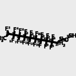 CC(F)C(F)(F)C(F)(F)C(F)(F)C(F)(F)C(F)(F)C(F)(F)C(F)(F)C(F)(F)C[SiH2]O[SiH3]